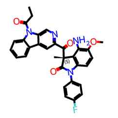 CCC(=O)n1c2ccccc2c2cc(C(=O)[C@@]3(C)C(=O)N(c4ccc(F)cc4)c4ccc(OC)c(N)c43)ncc21